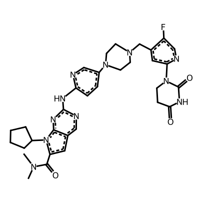 CN(C)C(=O)c1cc2cnc(Nc3ccc(N4CCN(Cc5cc(N6CCC(=O)NC6=O)ncc5F)CC4)cn3)nc2n1C1CCCC1